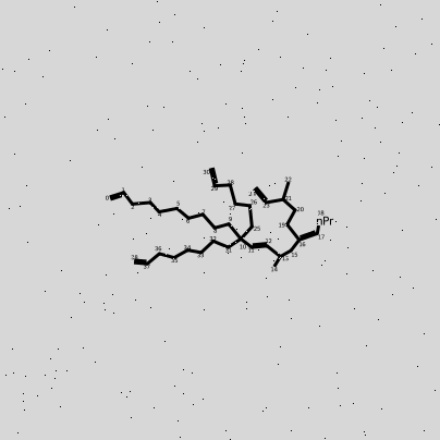 C=CCCCCCCCCC(C=CC(C)CC(=CCCC)CCC(C)C=C)(CCCCC=C)CCCCCCC=C